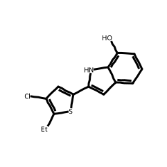 CCc1sc(-c2cc3cccc(O)c3[nH]2)cc1Cl